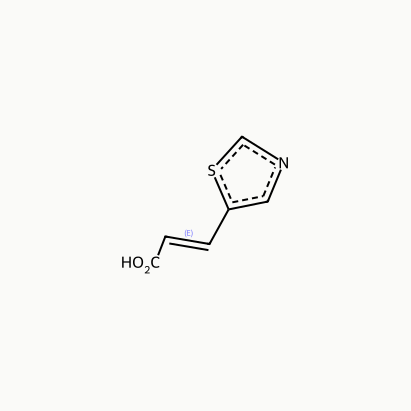 O=C(O)/C=C/c1cncs1